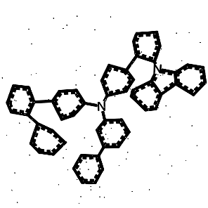 c1ccc(-c2cccc(N(c3ccc(-c4ccccc4-c4ccccc4)cc3)c3ccc(-c4ccccc4-n4c5ccccc5c5ccccc54)cc3)c2)cc1